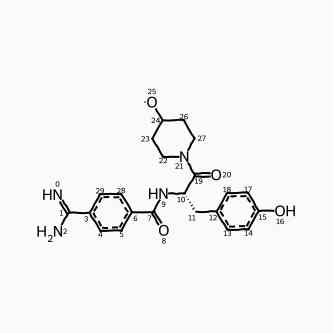 N=C(N)c1ccc(C(=O)N[C@@H](Cc2ccc(O)cc2)C(=O)N2CCC([O])CC2)cc1